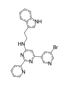 Brc1cncc(-c2cc(NCCc3c[nH]c4ccccc34)nc(-c3ccccn3)n2)c1